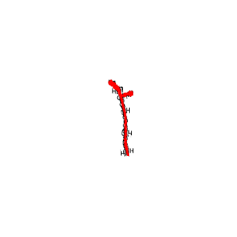 CNCC(=O)NCCCOCCOCCOCCCNC(=O)CCOCCOCCOCCOCCOCCC(=O)NCCCOCCOCCOCCCNC(=O)[C@@H](CCCCNC(=O)c1ccc(/C=C(\C)c2ccc3c(c2)C(C)(C)CCC3(C)C)cc1)NC(=O)c1ccc(/C=C(\C)c2ccc3c(c2)C(C)(C)CCC3(C)C)cc1